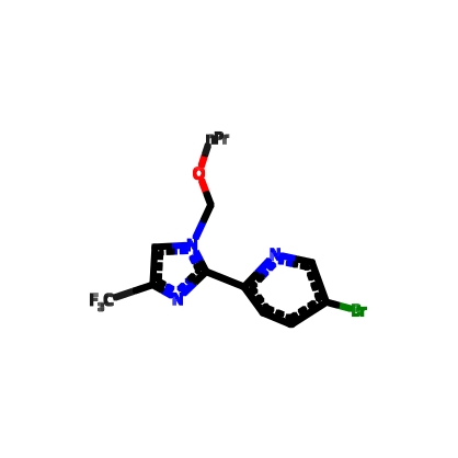 CCCOCn1cc(C(F)(F)F)nc1-c1ccc(Br)cn1